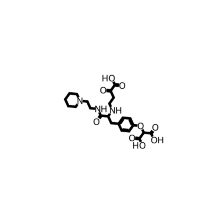 O=C(O)C(=O)CCNC(Cc1ccc(OC(C(=O)O)C(=O)O)cc1)C(=O)NCCN1CCCCC1